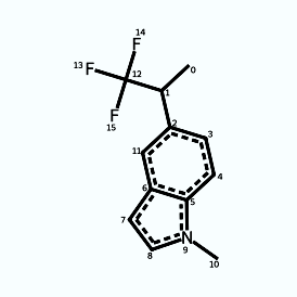 CC(c1ccc2c(ccn2C)c1)C(F)(F)F